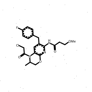 COCCC(=O)Nc1nc2c(cc1Cc1ccc(F)cc1)N(C(=O)CCl)C(C)CO2